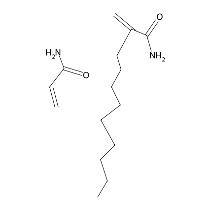 C=C(CCCCCCCCC)C(N)=O.C=CC(N)=O